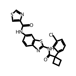 O=C(Nc1ccc2nc(NC(=O)C3(c4cccc(Cl)c4)CCC3)sc2c1)c1cscn1